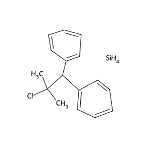 CC(C)(Cl)C(c1ccccc1)c1ccccc1.[SiH4]